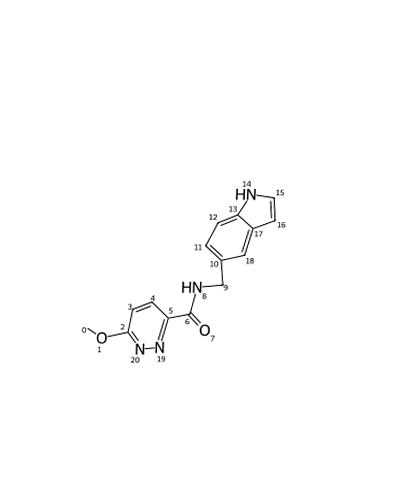 COc1ccc(C(=O)NCc2ccc3[nH]ccc3c2)nn1